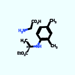 CCOC(=O)[C@H](C)Nc1ccc(C)cc1C.NCC(=O)O